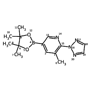 Cc1cc(B2OC(C)(C)C(C)(C)O2)cnc1-n1nccn1